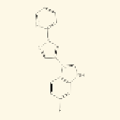 Fc1ccc2c(-c3cnn(-c4ccccn4)c3)c[nH]c2c1